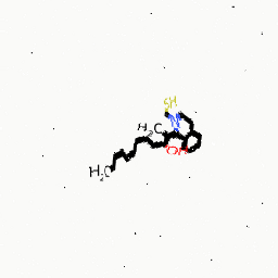 C=C\C=C/C=C\C=C/C=C(/O)C(=C)C1c2ccccc2CCN1CS